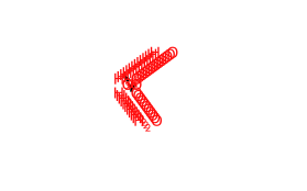 CCOC(C)=O.O.O.O.O.O.O.O.O.O.O.O.O.O.O.O.O.O.O.O.O.O.O.O.O.O